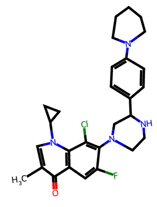 Cc1cn(C2CC2)c2c(Cl)c(N3CCNC(c4ccc(N5CCCCC5)cc4)C3)c(F)cc2c1=O